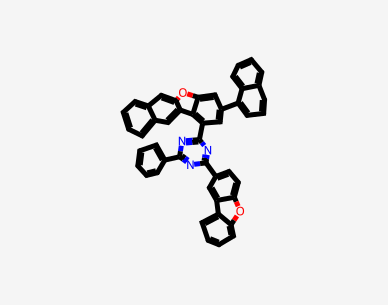 c1ccc(-c2nc(-c3ccc4oc5ccccc5c4c3)nc(-c3cc(-c4cccc5ccccc45)cc4oc5cc6ccccc6cc5c34)n2)cc1